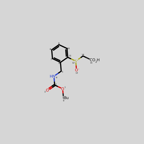 CC(C)(C)OC(=O)NCc1ccccc1[S+]([O-])CC(=O)O